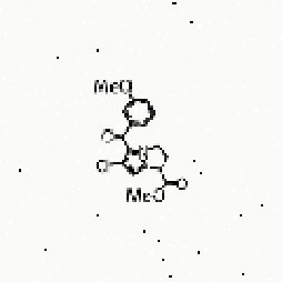 COC(=O)C1CCn2c1cc(Cl)c2C(=O)c1cccc(OC)c1